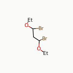 CCOC(Br)CC(Br)OCC